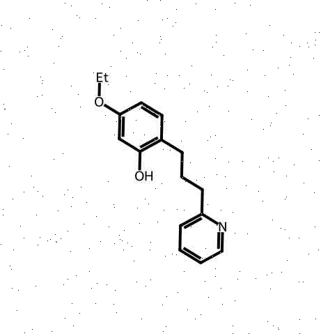 CCOc1ccc(CCCc2ccccn2)c(O)c1